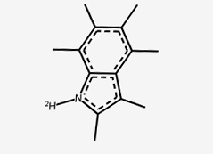 [2H]n1c(C)c(C)c2c(C)c(C)c(C)c(C)c21